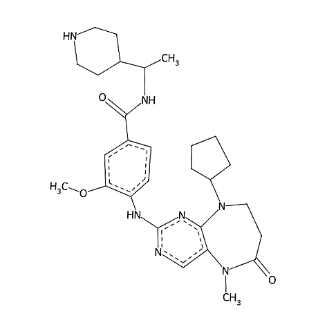 COc1cc(C(=O)NC(C)C2CCNCC2)ccc1Nc1ncc2c(n1)N(C1CCCC1)CCC(=O)N2C